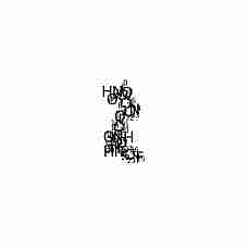 CC1NC(=O)c2cc3c(Oc4ccc(NC(=O)C5(C(=O)Nc6ccc(F)cc6)CC5)cc4)ccnc3cc2O1